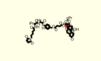 CCCC1O[C@@H]2C[C@H]3[C@@H]4CCC5=CC(=O)C=C[C@]5(C)[C@H]4[C@@H](O)C[C@]3(C)[C@]2(C(=O)COC(=O)CCC(=O)OCc2ccc(NC(=O)[C@H](C)NC(=O)C(NC(=O)CCCCCN3C(=O)C=CC3=O)C(C)C)cc2)O1